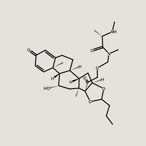 CCCC1O[C@@H]2C[C@H]3[C@@H]4CCC5=CC(=O)C=C[C@]5(C)[C@H]4[C@@H](O)C[C@]3(C)[C@]2(C(=O)COCN(C)C(=O)[C@H](C)NC)O1